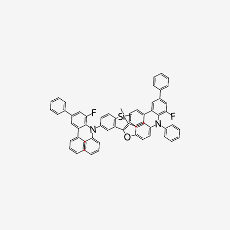 C[Si]1(C)c2ccc(N(c3ccccc3)c3c(F)cc(-c4ccccc4)cc3-c3ccccc3)cc2-c2oc3ccc(N(c4ccccc4)c4c(F)cc(-c5ccccc5)cc4-c4ccccc4)cc3c21